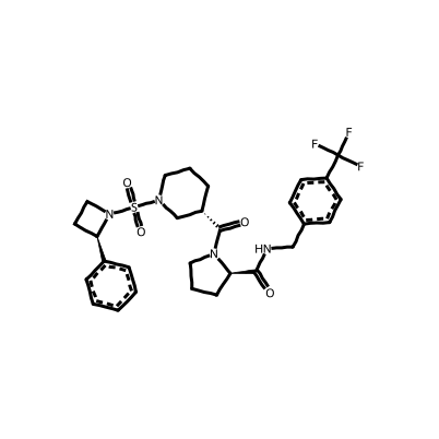 O=C(NCc1ccc(C(F)(F)F)cc1)[C@H]1CCCN1C(=O)[C@H]1CCCN(S(=O)(=O)N2CC[C@@H]2c2ccccc2)C1